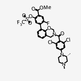 COC(=O)c1cc(F)c(-c2cccc3c2OCN(C(=O)c2c(Cl)cc(N4CCN(C)C[C@H]4C)cc2Cl)C3)cc1OS(=O)(=O)C(F)(F)F